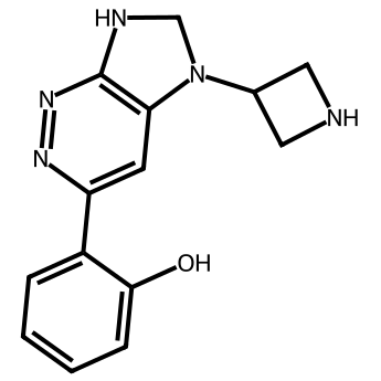 Oc1ccccc1-c1cc2c(nn1)NCN2C1CNC1